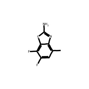 Cc1cc(F)c(F)c2sc(N)nc12